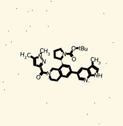 Cc1c[nH]c2ncc(-c3cc4c(c([C@@H]5CCCN5C(=O)OC(C)(C)C)c3)CN(C(=O)c3cc(C)n(C)n3)CC4)cc12